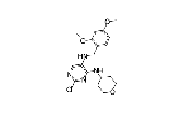 COc1ccc(CNc2cnc(Cl)nc2NC2CCOCC2)c(OC)c1